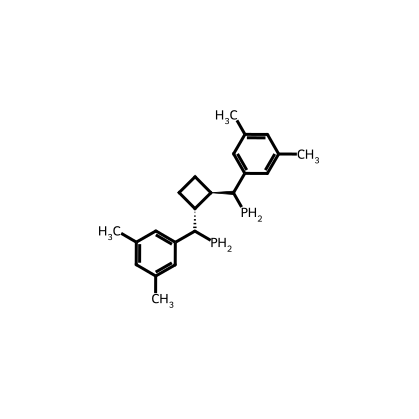 Cc1cc(C)cc(C(P)[C@@H]2CC[C@H]2C(P)c2cc(C)cc(C)c2)c1